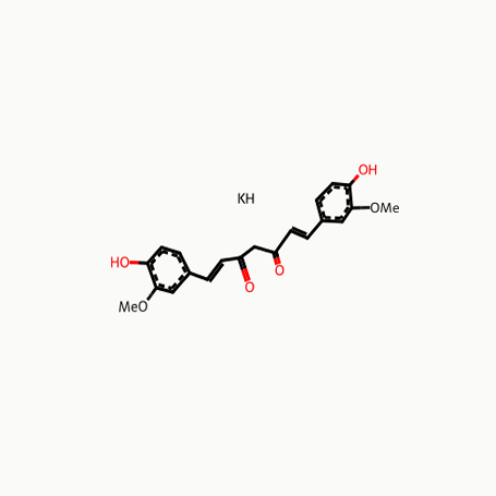 COc1cc(/C=C/C(=O)CC(=O)/C=C/c2ccc(O)c(OC)c2)ccc1O.[KH]